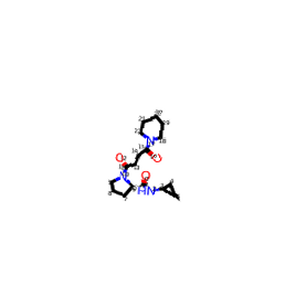 O=C(NC1CC1)[C@@H]1CCCN1C(=O)CCC(=O)N1CCCCC1